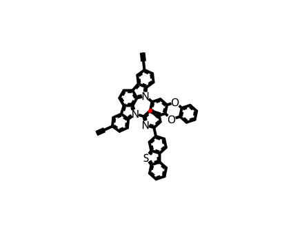 C#Cc1ccc2c(c1)c1ccc3c4cc(C#C)ccc4n(-c4cccc(-c5ccc6c(c5)sc5ccccc56)n4)c3c1n2-c1ccc2c(c1)Oc1ccccc1O2